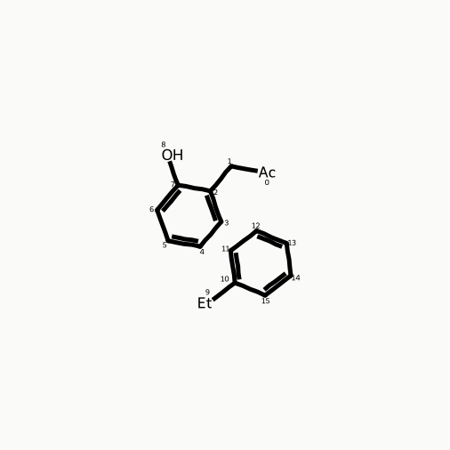 CC(=O)Cc1ccccc1O.CCc1ccccc1